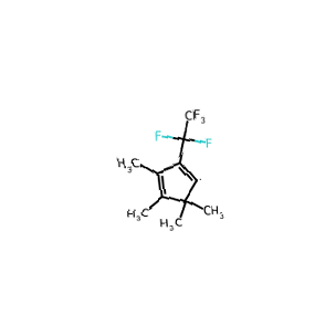 CC1=C(C)C(C)(C)[C]=C1C(F)(F)C(F)(F)F